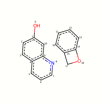 Oc1ccc2cccnc2c1.c1ccc2c(c1)CO2